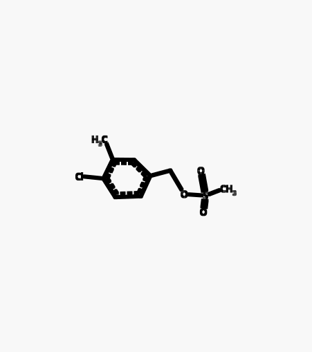 Cc1cc(COS(C)(=O)=O)ccc1Cl